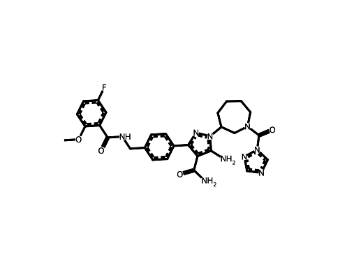 COc1ccc(F)cc1C(=O)NCc1ccc(-c2nn(C3CCCCN(C(=O)n4cncn4)C3)c(N)c2C(N)=O)cc1